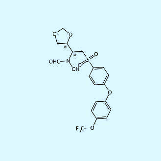 O=CN(O)[C@H](CS(=O)(=O)c1ccc(Oc2ccc(OC(F)(F)F)cc2)cc1)[C@H]1COCO1